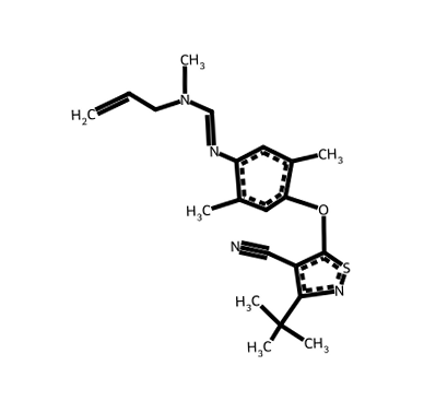 C=CCN(C)C=Nc1cc(C)c(Oc2snc(C(C)(C)C)c2C#N)cc1C